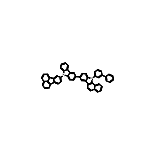 c1ccc(-c2cccc(-n3c4ccc(-c5ccc6c(c5)c5ccccc5n6-c5ccc6c(c5)-c5cccc7cccc-6c57)cc4c4ccc5ccccc5c43)c2)cc1